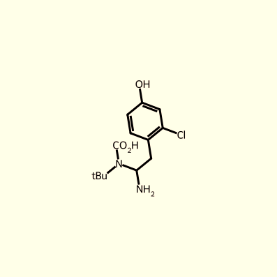 CC(C)(C)N(C(=O)O)C(N)Cc1ccc(O)cc1Cl